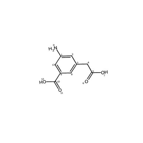 Nc1cc(CC(=O)O)cc(C(=O)O)c1